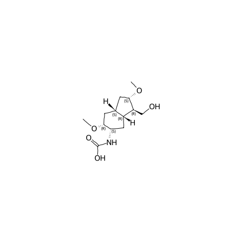 CO[C@H]1C[C@H]2C[C@@H](OC)[C@@H](NC(=O)O)C[C@H]2[C@@H]1CO